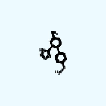 COc1ccc(-c2ccc(N)cc2-c2nnn[nH]2)cc1